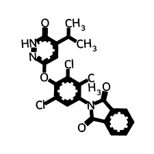 Cc1c(N2C(=O)c3ccccc3C2=O)cc(Cl)c(Oc2cc(C(C)C)c(=O)[nH]n2)c1Cl